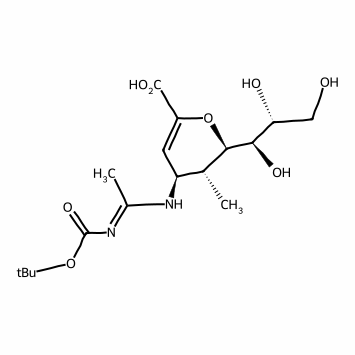 C/C(=N\C(=O)OC(C)(C)C)N[C@H]1C=C(C(=O)O)O[C@@H]([C@H](O)[C@H](O)CO)[C@@H]1C